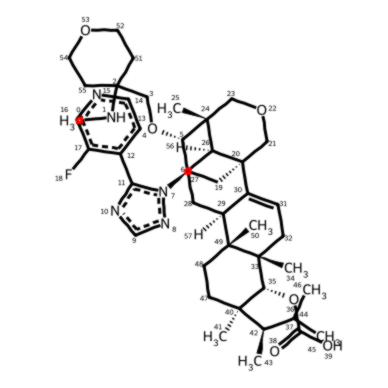 CNC1(CO[C@H]2[C@H](n3ncnc3-c3ccncc3F)C[C@@]34COC[C@]2(C)[C@@H]3CC[C@H]2C4=CC[C@]3(C)[C@H](OC(=O)O)[C@@](C)([C@H](C)C(C)C)CC[C@]23C)CCOCC1